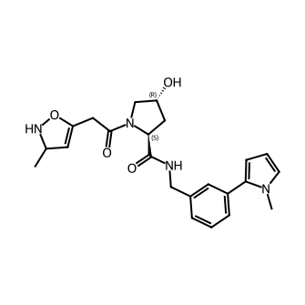 CC1C=C(CC(=O)N2C[C@H](O)C[C@H]2C(=O)NCc2cccc(-c3cccn3C)c2)ON1